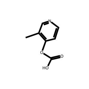 Cc1cnccc1OC(=O)O